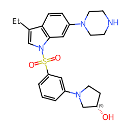 CCc1cn(S(=O)(=O)c2cccc(N3CC[C@H](O)C3)c2)c2cc(N3CCNCC3)ccc12